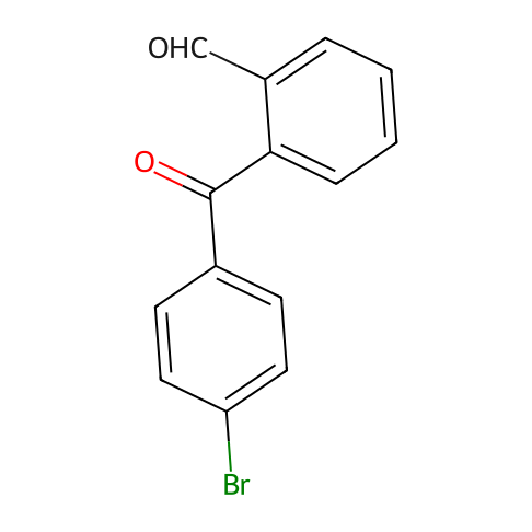 O=Cc1ccccc1C(=O)c1ccc(Br)cc1